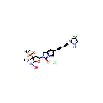 CC(CCN1Cc2cc(C#CC#C[C@@H]3C[C@H](F)CN3)cn2C1=O)(C(=O)NO)S(C)(=O)=O.Cl